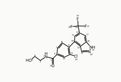 O=C(NCCO)c1ccc(-c2cc(C(F)(F)F)cc3[nH]ncc23)c(Cl)c1